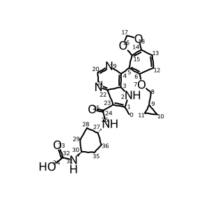 Cc1[nH]c2c(-c3c(OCC4CC4)ccc4c3OCO4)ncnc2c1C(=O)N[C@H]1CC[C@H](NC(=O)O)CC1